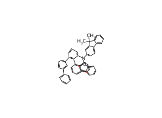 CC1(C)c2ccccc2-c2ccc(N(c3ccccc3)c3cccc(-c4cccc(-c5ccccc5)c4)c3-c3cccc4c3sc3ccccc34)cc21